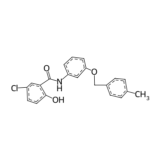 Cc1ccc(COc2cccc(NC(=O)c3cc(Cl)ccc3O)c2)cc1